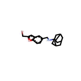 BrCc1cc2cc(CNC34CC5CC(CC(C5)C3)C4)ccc2o1